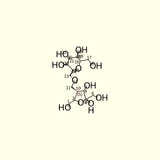 OCC1O[C@@](O)(CO)C(O)[C@@H]1COC[C@@H]1OC(CO)[C@H](O)[C@@H](O)C1O